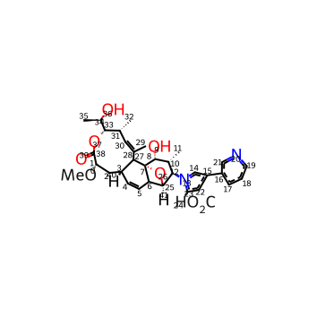 CO[C@H]1C[C@H]2C=CC3C4[C@H](O)[C@H](C)[C@@H](n5cc(-c6cccnc6)cc5C(=O)O)[C@@H]3O[C@]42/C(C)=C/[C@@H](C)[C@@H]([C@@H](C)O)OC1=O